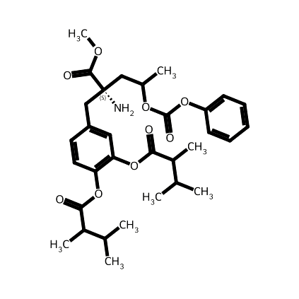 COC(=O)[C@](N)(Cc1ccc(OC(=O)C(C)C(C)C)c(OC(=O)C(C)C(C)C)c1)CC(C)OC(=O)Oc1ccccc1